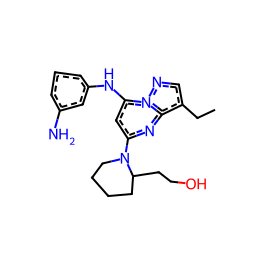 CCc1cnn2c(Nc3cccc(N)c3)cc(N3CCCCC3CCO)nc12